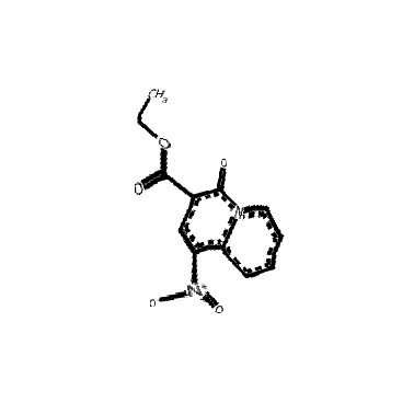 CCOC(=O)c1cc([N+](=O)[O-])c2ccccn2c1=O